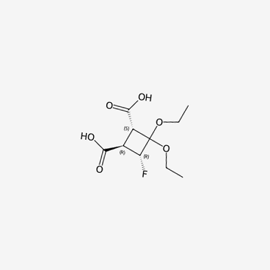 CCOC1(OCC)[C@H](F)[C@@H](C(=O)O)[C@@H]1C(=O)O